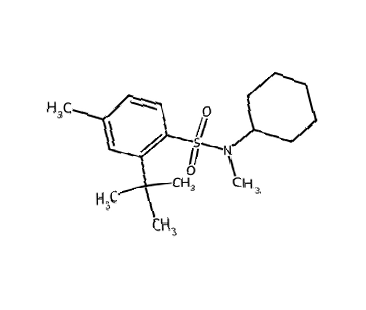 Cc1ccc(S(=O)(=O)N(C)C2CCCCC2)c(C(C)(C)C)c1